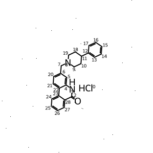 Cl.O=c1[nH]c2cc(CN3CCC(c4ccccc4)CC3)ccc2c2ccccc12